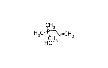 C=CC[P+](C)(C)C.[OH-]